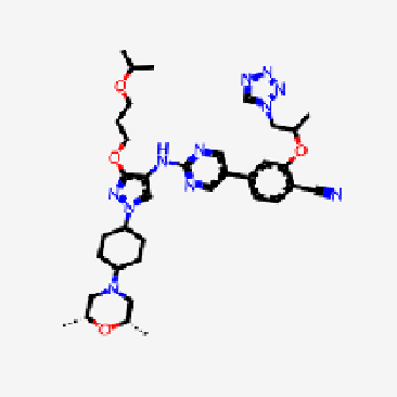 CC(C)OCCCOc1nn(C2CCC(N3C[C@@H](C)O[C@@H](C)C3)CC2)cc1Nc1ncc(-c2ccc(C#N)c(OC(C)Cn3cnnn3)c2)cn1